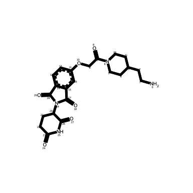 NCCC1CCN(C(=O)COc2ccc3c(c2)C(=O)N(C2CCC(=O)NC2=O)C3=O)CC1